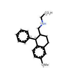 COc1ccc2c(c1)CCC(CNCC(=O)O)C2c1ccccc1